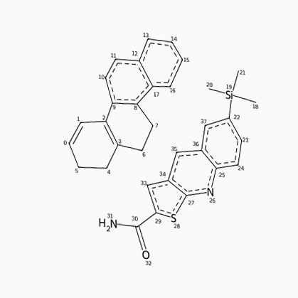 C1=CC2=C(CC1)CCc1c2ccc2ccccc12.C[Si](C)(C)c1ccc2nc3sc(C(N)=O)cc3cc2c1